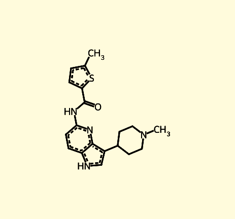 Cc1ccc(C(=O)Nc2ccc3[nH]cc(C4CCN(C)CC4)c3n2)s1